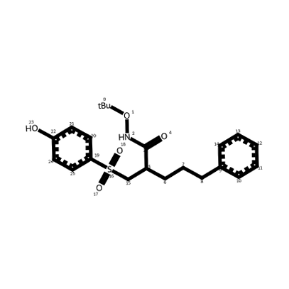 CC(C)(C)ONC(=O)C(CCCc1ccccc1)CS(=O)(=O)c1ccc(O)cc1